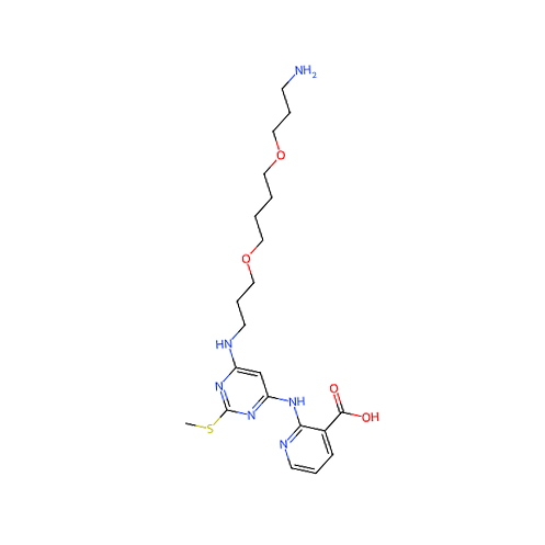 CSc1nc(NCCCOCCCCOCCCN)cc(Nc2ncccc2C(=O)O)n1